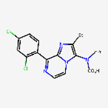 CCCN(C(=O)O)c1c(CC)nc2c(-c3ccc(Cl)cc3Cl)nccn12